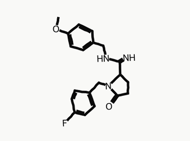 COc1ccc(CNC(=N)C2CCC(=O)N2Cc2ccc(F)cc2)cc1